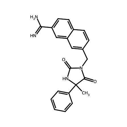 CC1(c2ccccc2)NC(=O)N(Cc2ccc3ccc(C(=N)N)cc3c2)C1=O